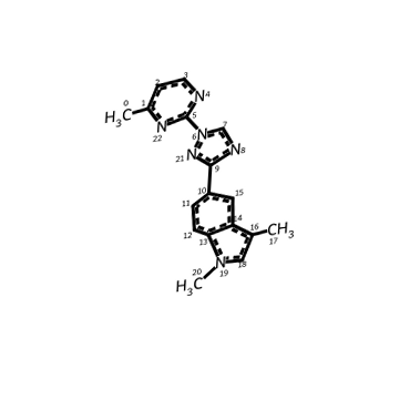 Cc1ccnc(-n2cnc(-c3ccc4c(c3)c(C)cn4C)n2)n1